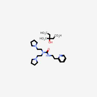 O=C(NCCc1ccccn1)N(CCN1CCCC1)CCN1CCCC1.O=C(O)CC(O)(CC(=O)O)C(=O)O